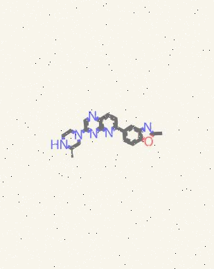 Cc1nc2cc(-c3ccc4ncc(N5CCN[C@H](C)C5)nc4n3)ccc2o1